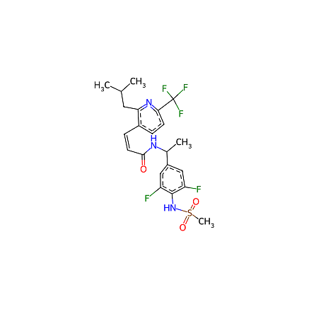 CC(C)Cc1nc(C(F)(F)F)ccc1/C=C\C(=O)NC(C)c1cc(F)c(NS(C)(=O)=O)c(F)c1